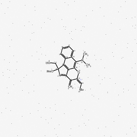 C=C1C2=NC(CO)(OC)c3c2c(c(N(C)C)c2ccccc32)O/C1=C/C(C)(C)C